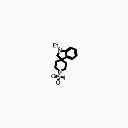 CCN1CC2(CCN(S(=O)(=O)I)CC2)c2ccccc21